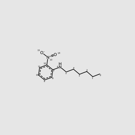 CCCCCCNc1ccccc1[N+](=O)[O-]